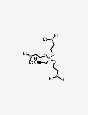 C#CC[Si](OCCN(CC)CC)(OCCN(CC)CC)OCCN(CC)CC